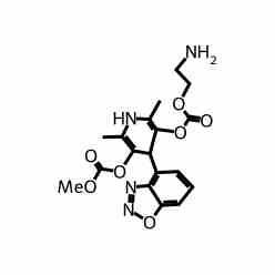 COC(=O)OC1=C(C)NC(C)=C(OC(=O)OCCN)C1c1cccc2onnc12